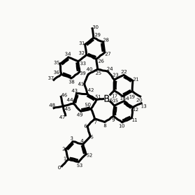 Cc1ccc(CCC2Cc3ccc(C)cc3B3c4cc(C)ccc4CC(c4ccc(C)cc4-c4ccc(C)cc4)CCc4cc(C(C)(C)C)cc2c43)cc1